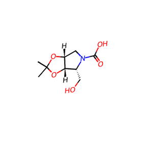 CC1(C)O[C@H]2[C@@H](CO)N(C(=O)O)C[C@H]2O1